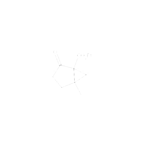 CCOC(=O)C12CC1(C)CCC2=O